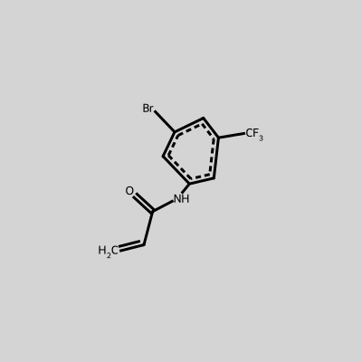 C=CC(=O)Nc1cc(Br)cc(C(F)(F)F)c1